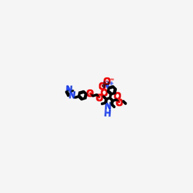 CCOC(=O)C1=C(C)NC(C)=C(C(=O)OCCOc2ccc(Cn3ccnc3)cc2)C1c1cccc([N+](=O)[O-])c1